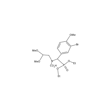 CCOP(=O)(OCC)C(c1ccc(OC)c(Br)c1)N(CC(OC)OC)C(=O)O